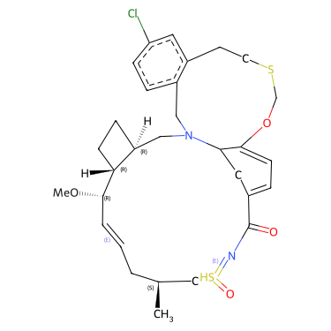 CO[C@H]1/C=C/C[C@H](C)C/[SH](=O)=N\C(=O)C2=CC=C3OCSCCc4cc(Cl)ccc4CN(C[C@@H]4CC[C@H]41)C3C2